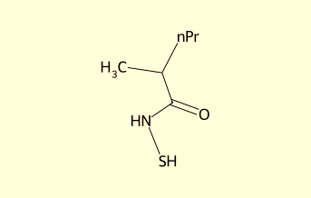 CCCC(C)C(=O)NS